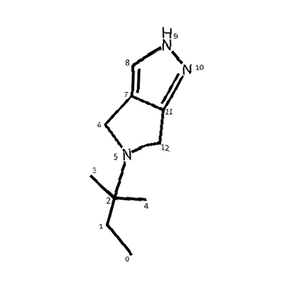 CCC(C)(C)N1Cc2c[nH]nc2C1